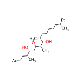 CC/C(C)=C/C=C/C=C/[C@@H](C)C(O)C(C)C(=O)CC(O)/C(C)=C/CC(C)=O